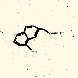 CCCCCCCCOCc1cc2c(N)cccc2cn1